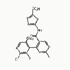 COc1cnc(Cl)c(F)c1-c1cc(C)ncc1C(=O)Nc1nnc(C(=O)O)s1